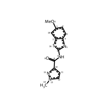 COc1ccc2nc(NC(=O)c3ccn(C)n3)sc2c1